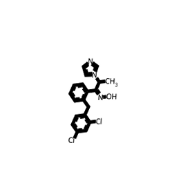 CC(C(=NO)c1ccccc1Cc1ccc(Cl)cc1Cl)n1ccnc1